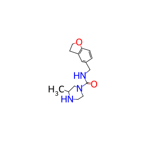 CC1CN(C(=O)NCc2ccc3c(c2)CCO3)CCN1